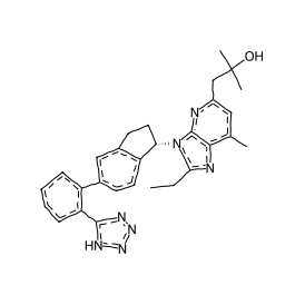 CCc1nc2c(C)cc(CC(C)(C)O)nc2n1[C@H]1CCc2cc(-c3ccccc3-c3nnn[nH]3)ccc21